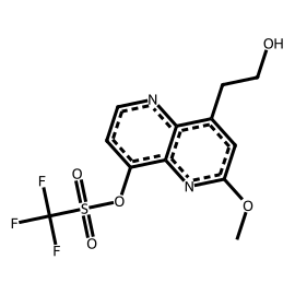 COc1cc(CCO)c2nccc(OS(=O)(=O)C(F)(F)F)c2n1